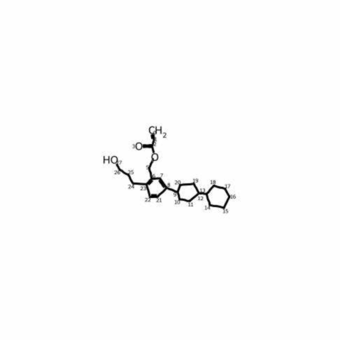 C=CC(=O)OCc1cc(C2CCC(C3CCCCC3)CC2)ccc1CCCO